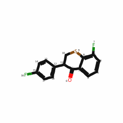 O=C1c2cccc(F)c2SCC1c1ccc(F)cc1